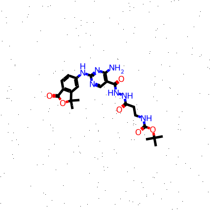 CC(C)(C)OC(=O)NCCC(=O)NNC(=O)c1cnc(Nc2ccc3c(c2)C(C)(C)OC3=O)nc1N